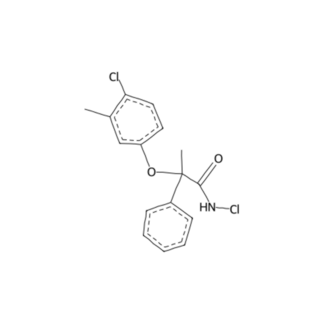 Cc1cc(OC(C)(C(=O)NCl)c2ccccc2)ccc1Cl